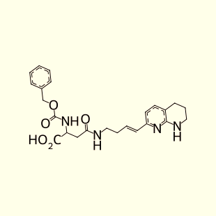 O=C(CC(NC(=O)OCc1ccccc1)C(=O)O)NCC/C=C/c1ccc2c(n1)NCCC2